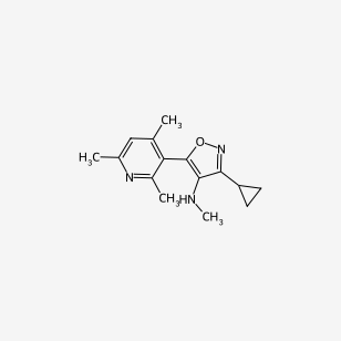 CNc1c(C2CC2)noc1-c1c(C)cc(C)nc1C